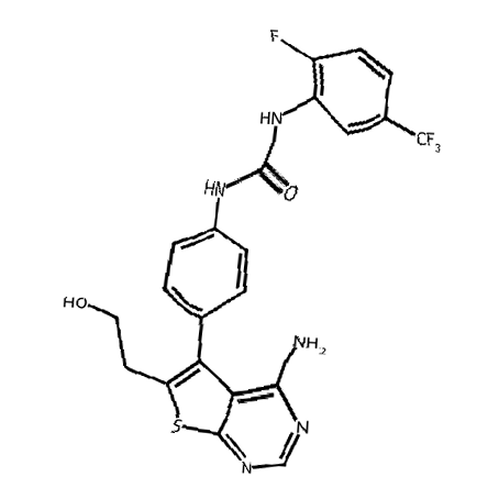 Nc1ncnc2sc(CCO)c(-c3ccc(NC(=O)Nc4cc(C(F)(F)F)ccc4F)cc3)c12